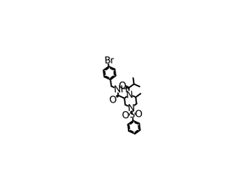 CC(C)C(=O)N1C(C)CN(S(=O)(=O)c2ccccc2)CC1C(=O)NCc1ccc(Br)cc1